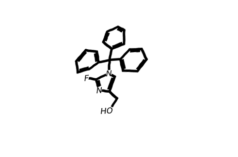 OCc1cn(C(c2ccccc2)(c2ccccc2)c2ccccc2)c(F)n1